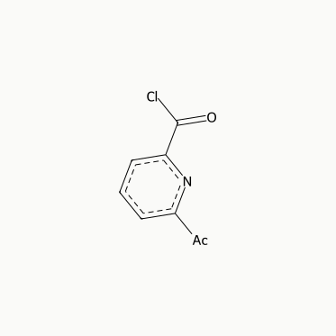 CC(=O)c1cccc(C(=O)Cl)n1